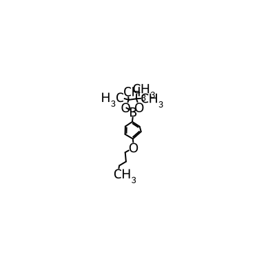 CCCCOc1ccc(B2OC(C)(C)C(C)(C)O2)cc1